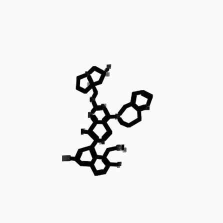 CCc1c(F)ccc2cc(O)cc(-c3ncc4c(N5CCCc6ncccc6C5)nc(OC[C@@]56CCCN5C[C@H](F)C6)nc4c3F)c12